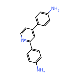 Nc1ccc(-c2ccnc(-c3ccc(N)cc3)c2)cc1